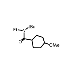 CCN(C(=O)C1CCC(OC)CC1)C(C)(C)C